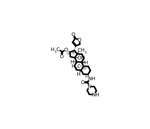 CC(=O)O[C@H]1C[C@]2(O)[C@@H]3CC[C@@H]4C[C@@H](NC(=O)N5CCNCC5)CC[C@]4(C)[C@H]3CC[C@]2(C)[C@H]1C1=CC(=O)OC1